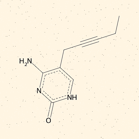 CCC#CCc1c[nH]c(=O)nc1N